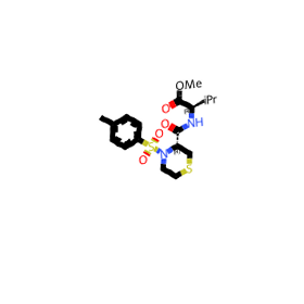 COC(=O)[C@H](NC(=O)[C@@H]1CSCCN1S(=O)(=O)c1ccc(C)cc1)C(C)C